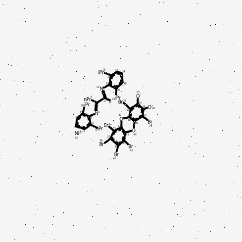 CCCC(=Nc1c(C(C)C)cccc1C(C)C)C(C)=Nc1c(C(C)C)cccc1C(C)C.[Ni+2].[O-]c1c([O-])c(Br)c2c(c1Br)Oc1c(Br)c(Br)c(Br)c(Br)c1O2